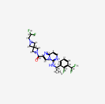 C[C@@H](Nc1nccc2nc(C(=O)N3CC4(CN(CC(F)F)C4)C3)cn12)c1cccc(C(F)F)c1F